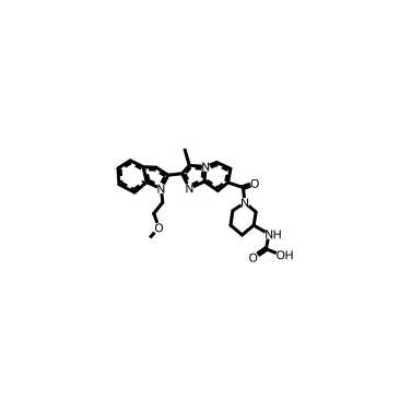 COCCn1c(-c2nc3cc(C(=O)N4CCCC(NC(=O)O)C4)ccn3c2C)cc2ccccc21